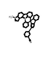 Cn1ccc2c1ccc1c3cccc4c3n(c12)-c1ccccc1C41c2ccccc2-c2ccc(-c3cccc(C#N)c3)cc21